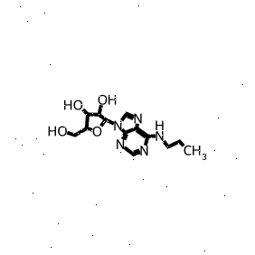 CCCNc1ncnc2c1ncn2C1OC(CO)C(O)C1O